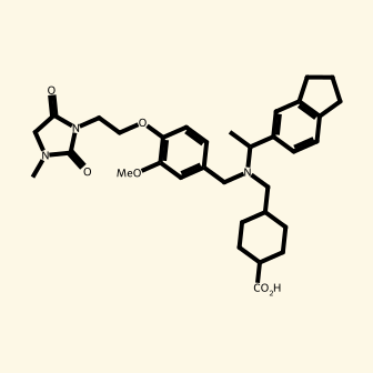 COc1cc(CN(CC2CCC(C(=O)O)CC2)C(C)c2ccc3c(c2)CCC3)ccc1OCCN1C(=O)CN(C)C1=O